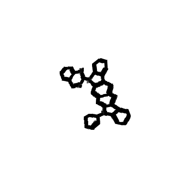 c1ccc(-n2c3ccccc3c3cc4cc5c6ccccc6n(-c6ncc7ccccc7n6)c5cc4cc32)cc1